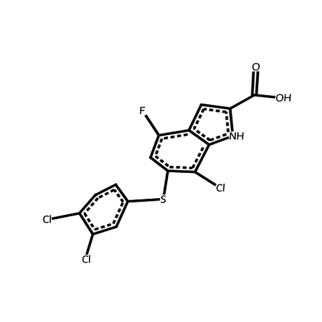 O=C(O)c1cc2c(F)cc(Sc3ccc(Cl)c(Cl)c3)c(Cl)c2[nH]1